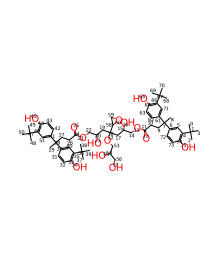 CC(C)(C)c1cc(C(C)(CCC(=O)OCC(O)CC(CC(O)COC(=O)CCC(C)(c2ccc(O)c(C(C)(C)C)c2)c2ccc(O)c(C(C)(C)C)c2)(OCC(O)CO)C2CO2)c2ccc(O)c(C(C)(C)C)c2)ccc1O